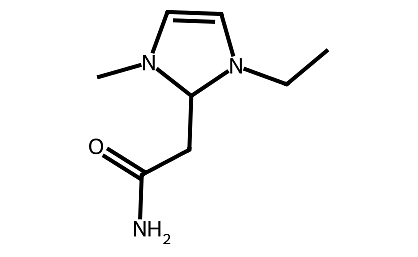 CCN1C=CN(C)C1CC(N)=O